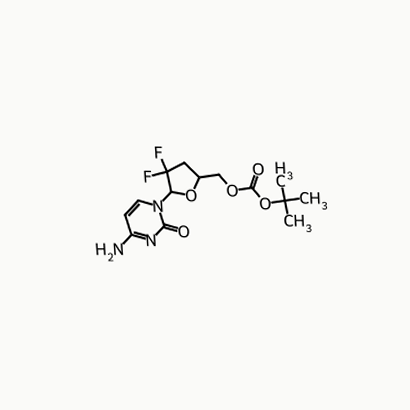 CC(C)(C)OC(=O)OCC1CC(F)(F)C(n2ccc(N)nc2=O)O1